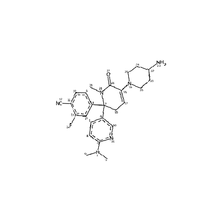 CN(C)c1ccc(C2(c3ccc(C#N)c(F)c3)CC=C(N3CCC(N)CC3)C(=O)N2C)cn1